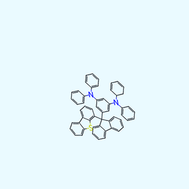 C1=CCC(N(c2ccccc2)c2cc(N(c3ccccc3)c3ccccc3)cc(C3(c4cccc5c4sc4ccccc45)c4ccccc4-c4ccccc43)c2)C=C1